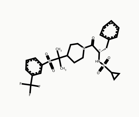 CC(C)(C1CCN(C(=O)[C@H](Cc2ccccc2)NS(=O)(=O)C2CC2)CC1)S(=O)(=O)c1cccc(C(F)(F)F)c1